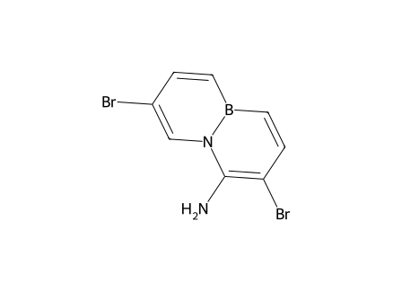 NC1=C(Br)C=CB2C=CC(Br)=CN21